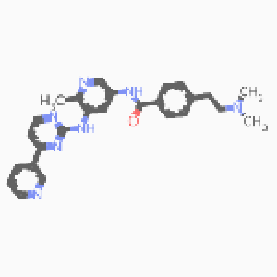 Cc1ncc(NC(=O)c2ccc(CCN(C)C)cc2)cc1Nc1nccc(-c2cccnc2)n1